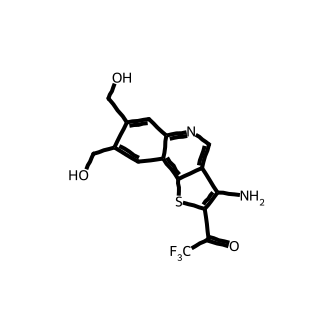 Nc1c(C(=O)C(F)(F)F)sc2c1cnc1cc(CO)c(CO)cc12